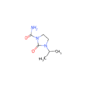 CC(C)N1CCN(C(N)=O)C1=O